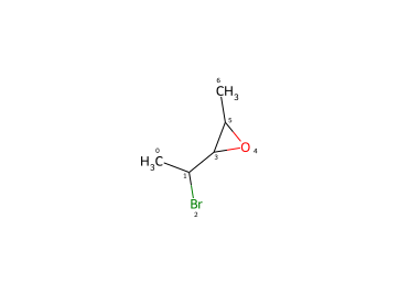 CC(Br)C1OC1C